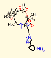 B[C@@H]1[C@@H](C)C(=O)[C@@H](C)C(=O)O[C@H](CC)[C@@]2(C)OC(=O)N(CCCCn3cc(-c4cccc(N)c4)nn3)[C@@H]2CNC[C@H](C)C[C@@]1(C)OC